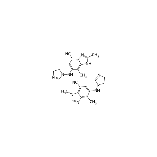 Cc1c(NN2C=NCC2)cc(C#N)c2c1ncn2C.Cc1nc2c(C#N)cc(NN3C=NCC3)c(C)c2[nH]1